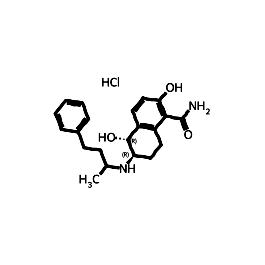 CC(CCc1ccccc1)N[C@@H]1CCc2c(ccc(O)c2C(N)=O)[C@H]1O.Cl